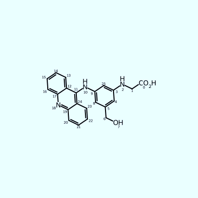 O=C(O)CNc1cc(CO)cc(Nc2c3ccccc3nc3ccccc23)c1